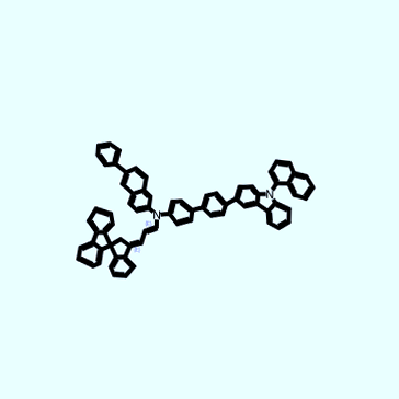 C(=C\N(c1ccc(-c2ccc(-c3ccc4c(c3)c3ccccc3n4-c3cccc4ccccc34)cc2)cc1)c1ccc2cc(-c3ccccc3)ccc2c1)/C=C1\CC2(c3ccccc31)c1ccccc1-c1ccccc12